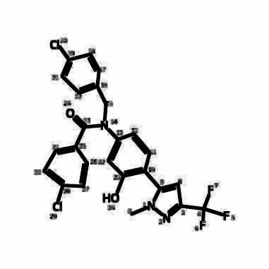 Cn1nc(C(F)(F)F)cc1-c1ccc(N(Cc2ccc(Cl)cc2)C(=O)c2ccc(Cl)cc2)cc1O